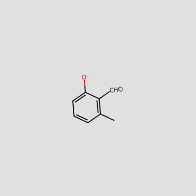 Cc1cccc([O])c1C=O